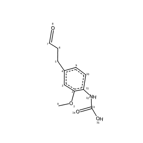 COc1cc(CCC=O)ccc1NC(=O)O